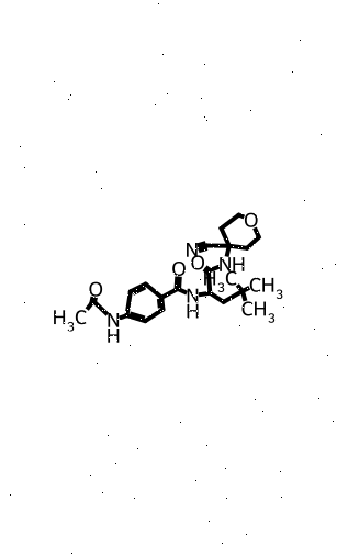 CC(=O)Nc1ccc(C(=O)NC(CC(C)(C)C)C(=O)NC2(C#N)CCOCC2)cc1